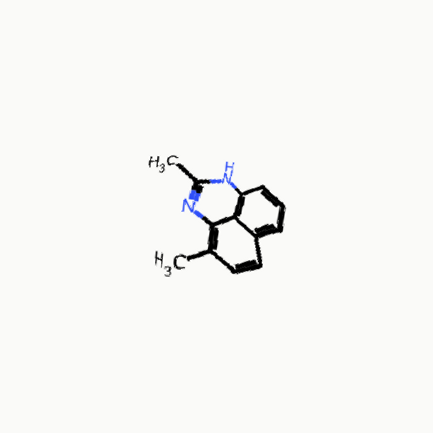 CC1=Nc2c(C)ccc3cccc(c23)N1